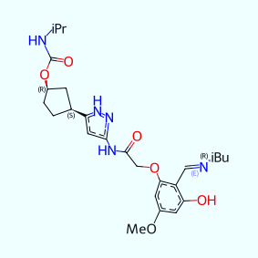 CC[C@@H](C)/N=C/c1c(O)cc(OC)cc1OCC(=O)Nc1cc([C@H]2CC[C@@H](OC(=O)NC(C)C)C2)[nH]n1